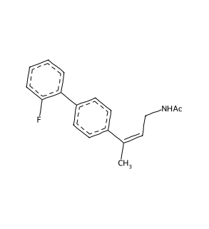 CC(=O)NC/C=C(/C)c1ccc(-c2ccccc2F)cc1